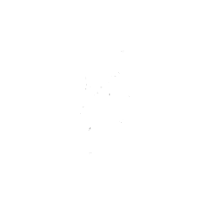 C=C1C(=C)C2C=CC1C(=C)C2=C